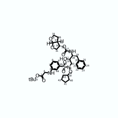 CC(C)(C)OC(=O)CNc1cccc(S(=O)(=O)N(C[C@@H](O)[C@H](Cc2ccccc2)NC(=O)O[C@@H]2CO[C@@H]3OCC[C@@H]32)OC2CCCC2)c1